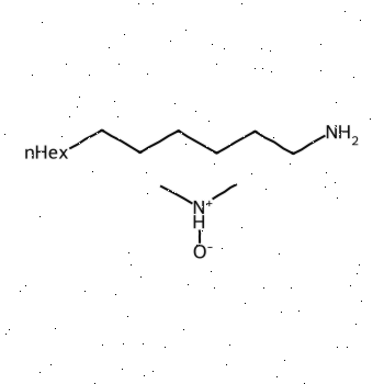 CCCCCCCCCCCCN.C[NH+](C)[O-]